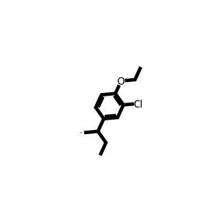 [CH2]C(CC)c1ccc(OCC)c(Cl)c1